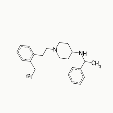 CC(C)Cc1ccccc1CCN1CCC(NC(C)c2ccccc2)CC1